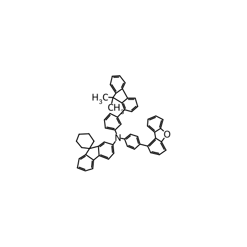 CC1(C)c2ccccc2-c2cccc(-c3cccc(N(c4ccc(-c5cccc6oc7ccccc7c56)cc4)c4ccc5c(c4)C4(CCCCC4)c4ccccc4-5)c3)c21